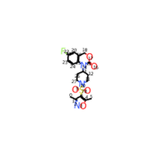 Cc1noc(C)c1S(=O)(=O)N1CCC(N2C(=O)OCc3cc(F)ccc32)CC1